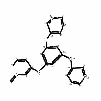 C=N/C=C(\C=C/C)Oc1cc(Oc2cccnc2)cc(Oc2cccnc2)c1